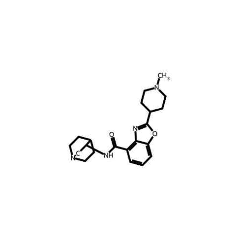 CN1CCC(c2nc3c(C(=O)NC4CN5CCC4CC5)cccc3o2)CC1